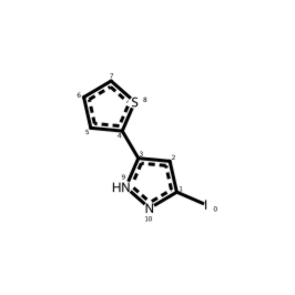 Ic1cc(-c2cccs2)[nH]n1